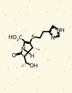 C[C@@H](O)[C@H]1C(=O)N2C(C(=O)O)=C(SCCc3c[nH]cn3)[C@H](C)[C@H]12